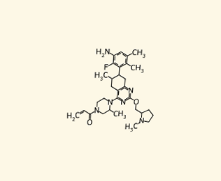 C=CC(=O)N1CCN(c2nc(OCC3CCCN3C)nc3c2CC(C)C(c2c(C)c(C)cc(N)c2F)C3)C(C)C1